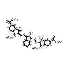 CCCCCN1/C(=C/C=C2C(Cl)=C(/C=C/C3=[N+](CCCCC)c4ccc(C(=O)OC)cc4C3(C)C)c3ccccc3/2)C(C)(C)c2cc(C(=O)OC)ccc21